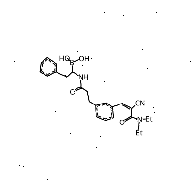 CCN(CC)C(=O)C(C#N)=Cc1cccc(CCC(=O)NC(Cc2ccccc2)B(O)O)c1